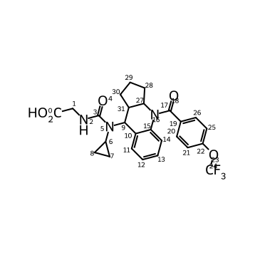 O=C(O)CNC(=O)N(C1CC1)C1c2ccccc2N(C(=O)c2ccc(OC(F)(F)F)cc2)C2CCCC21